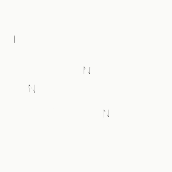 Cc1cn2cc(I)nc(C)c2n1